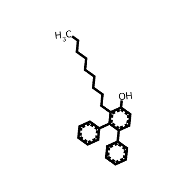 CCCCCCCCCc1c(O)ccc(-c2ccccc2)c1-c1ccccc1